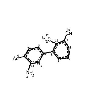 CC(=O)c1ccc(-c2cccc(C#N)c2C)nc1N